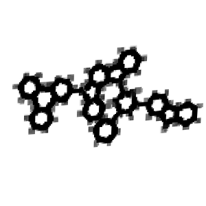 c1ccc(-c2nc(-c3ccc4c(c3)sc3ccccc34)nc(-n3c4ccccc4c4ccc5c(c6ccccc6n5-c5ccc6c7ccccc7c7ccccc7c6c5)c43)n2)cc1